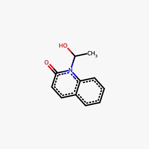 CC(O)n1c(=O)ccc2ccccc21